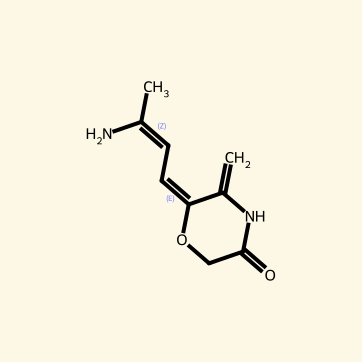 C=C1NC(=O)CO/C1=C/C=C(/C)N